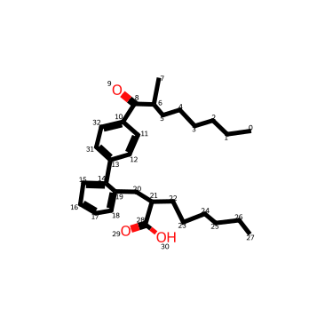 CCCCCCC(C)C(=O)c1ccc(-c2ccccc2CC(CCCCCC)C(=O)O)cc1